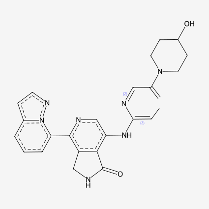 C=C(/C=N\C(=C/C)Nc1cnc(-c2cccc3ccnn23)c2c1C(=O)NC2)N1CCC(O)CC1